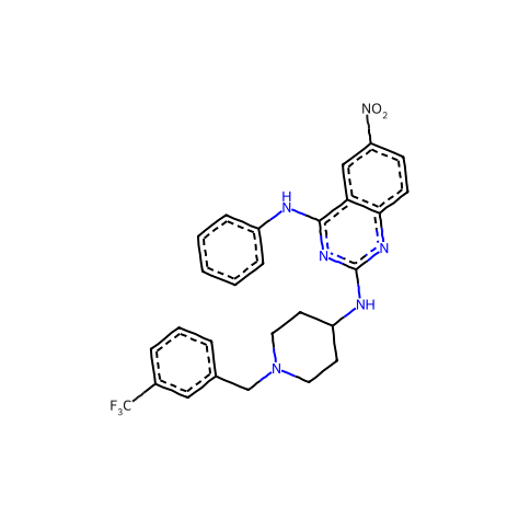 O=[N+]([O-])c1ccc2nc(NC3CCN(Cc4cccc(C(F)(F)F)c4)CC3)nc(Nc3ccccc3)c2c1